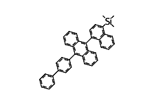 C[Si](C)(C)c1ccc(-c2c3ccccc3c(-c3ccc(-c4ccccc4)cc3)c3ccccc23)c2ccccc12